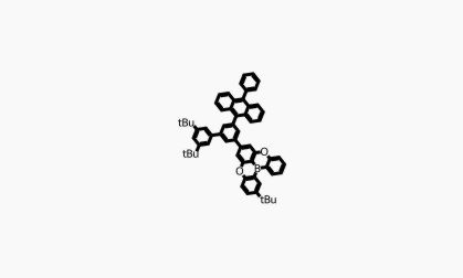 CC(C)(C)c1cc(-c2cc(-c3cc4c5c(c3)Oc3ccc(C(C)(C)C)cc3B5c3ccccc3O4)cc(-c3c4ccccc4c(-c4ccccc4)c4ccccc34)c2)cc(C(C)(C)C)c1